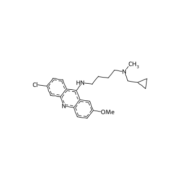 COc1ccc2nc3cc(Cl)ccc3c(NCCCCN(C)CC3CC3)c2c1